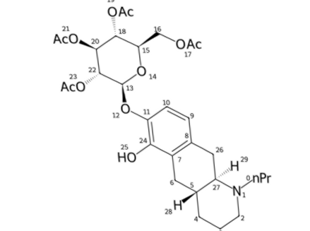 CCCN1CCC[C@@H]2Cc3c(ccc(O[C@@H]4O[C@H](COC(C)=O)[C@@H](OC(C)=O)[C@H](OC(C)=O)[C@H]4OC(C)=O)c3O)C[C@H]21